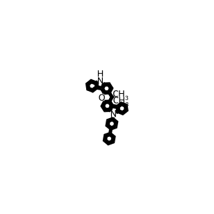 CC1(C)c2ccc3[nH]c4ccccc4c3c2Oc2ccc3c(c21)c1ccccc1n3-c1ccc(-c2ccccc2)cc1